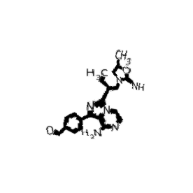 CCC(CN1CC(C)OC1=N)c1nc(-c2ccc(C=O)cc2)c2c(N)nccn12